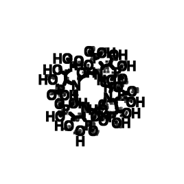 O=P(O)(O)C(O)C(N1CCN(C(C(O)P(=O)(O)O)P(=O)(O)O)CCN(C(C(O)P(=O)(O)O)P(=O)(O)O)CCN(C(C(O)P(=O)(O)O)P(=O)(O)O)CC1)P(=O)(O)O